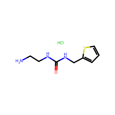 Cl.NCCNC(=O)NCc1cccs1